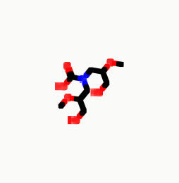 COC(CO)CN(CC(CO)OC)C(=O)O